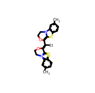 CC/C(C1=C2Sc3ccc(C)cc3N2CCO1)=C1/OCC[n+]2c1sc1ccc(C)cc12